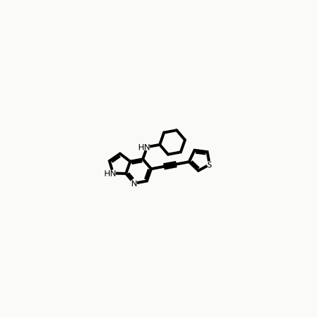 C(#Cc1cnc2[nH]ccc2c1NC1CCCCC1)c1ccsc1